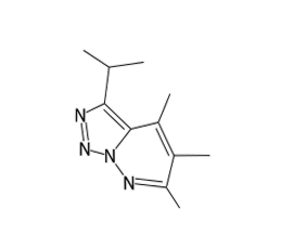 Cc1nn2nnc(C(C)C)c2c(C)c1C